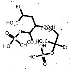 CCC(CC(=O)O)(OP(=O)(O)O)C(=O)O.CCC(CC(C(=O)O)C(OP(=O)(O)O)C(=O)O)C(=O)O